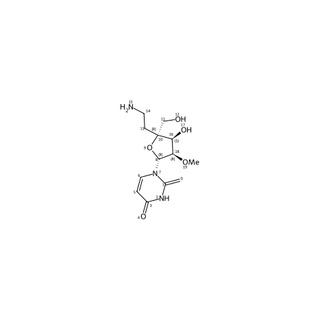 C=C1NC(=O)C=CN1[C@@H]1O[C@@](CO)(CCN)[C@@H](O)[C@H]1OC